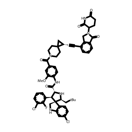 COc1cc(C(=O)N2CCC3(CC2)C[C@@H]3C#Cc2cccc3c2CN(C2CCC(=O)NC2=O)C3=O)ccc1NC(=O)[C@@H]1N[C@@H](CC(C)(C)C)[C@@]2(CNc3cc(Cl)ccc32)[C@H]1c1cccc(Cl)c1F